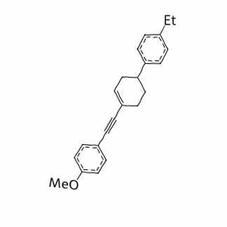 CCc1ccc(C2CC=C(C#Cc3ccc(OC)cc3)CC2)cc1